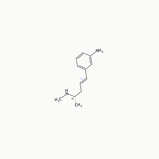 CN[C@@H](C)C/C=C/c1cccc(N)c1